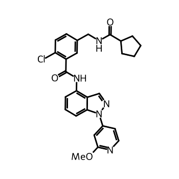 COc1cc(-n2ncc3c(NC(=O)c4cc(CNC(=O)C5CCCC5)ccc4Cl)cccc32)ccn1